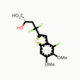 COc1cc2sc(C(F)(F)C[C@H](O)C(=O)O)cc2c(F)c1OC